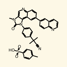 Cc1ccc(S(=O)(=O)O)cc1.Cn1c(=O)n(-c2ccc(C(C)(C)C#N)cc2)c2c3cc(-c4ccc5ncccc5c4)ccc3ncc21